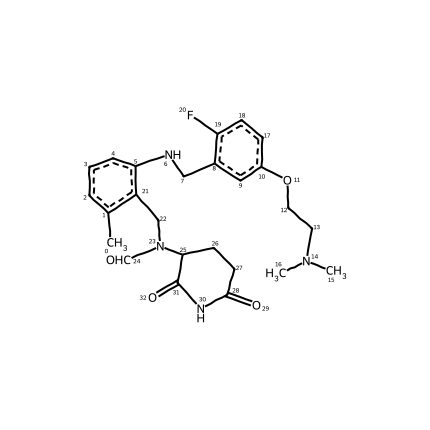 Cc1cccc(NCc2cc(OCCN(C)C)ccc2F)c1CN(C=O)C1CCC(=O)NC1=O